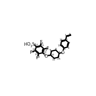 C=Cc1ccc(OC2CCC(Oc3c(F)c(F)c(S(=O)(=O)O)c(F)c3F)CC2)cc1